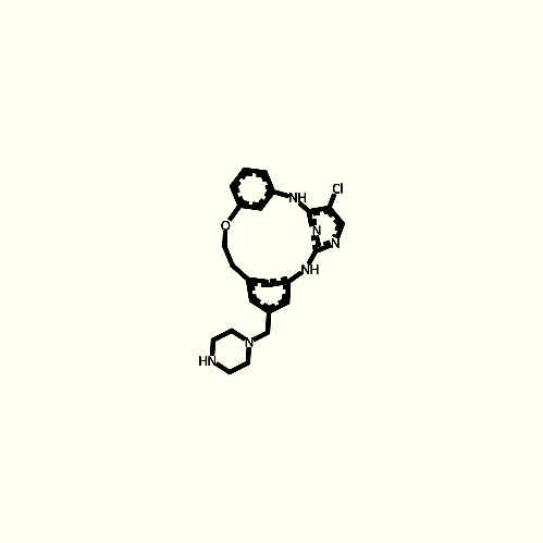 Clc1cnc2nc1Nc1cccc(c1)OCCc1cc(CN3CCNCC3)cc(c1)N2